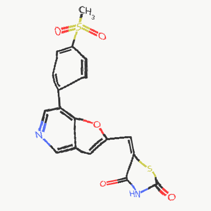 CS(=O)(=O)c1ccc(-c2cncc3cc(C=C4SC(=O)NC4=O)oc23)cc1